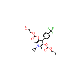 CCCOC(=O)OC1=C(C)N(C2CC2)C(C)=C(OC(=O)OCCOC)C1c1ccc(C(F)(F)F)cc1